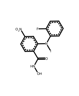 O=C(NO)c1ccc([N+](=O)[O-])cc1N(I)c1ccccc1F